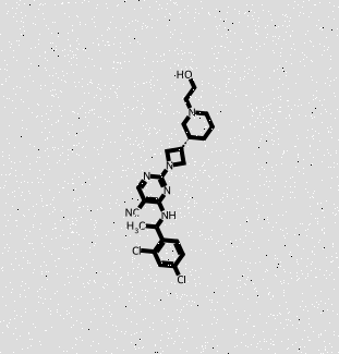 CC(Nc1nc(N2CC([C@H]3CCCN(CCO)C3)C2)ncc1C#N)c1ccc(Cl)cc1Cl